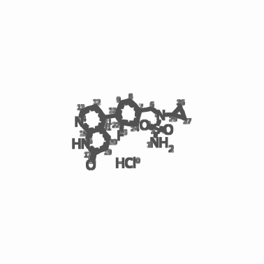 Cl.NS(=O)(=O)N(Cc1ccc(-c2ccnc3[nH]c(=O)ccc23)c(F)c1)C1CC1